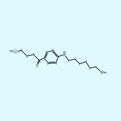 CCCCCCCCCCCCCCCCNc1ccc(C(=O)CCCC(=O)O)cc1